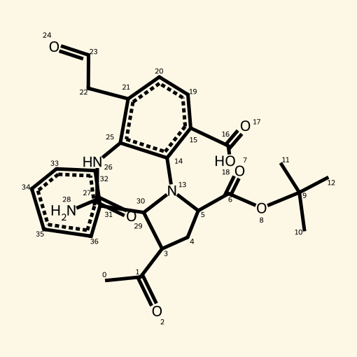 CC(=O)C1CC(C(=O)OC(C)(C)C)N(c2c(C(=O)O)ccc(CC=O)c2NC(N)=O)C1c1ccccc1